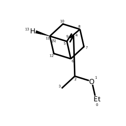 CCOC(C)C1=C2C3CC(C1)C[C@H]2C3